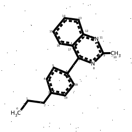 CCCc1ccc(-c2nc(C)nc3ccccc23)cc1